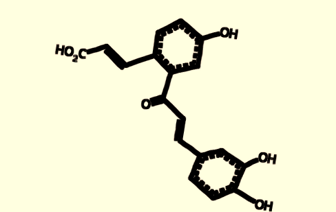 O=C(O)C=Cc1ccc(O)cc1C(=O)C=Cc1ccc(O)c(O)c1